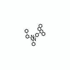 c1ccc(-c2cccc(-c3cc(-c4ccccc4)nc(-c4ccc(-c5c6ccccc6cc6c5ccc5ccccc56)cc4)n3)c2)cc1